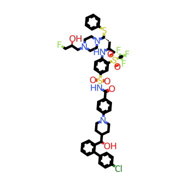 CC(C[C@@H](Sc1ccccc1)N1CCN(C[C@H](O)CF)CC1)Nc1ccc(S(=O)(=O)NC(=O)c2ccc(N3CCC(C(O)c4ccccc4-c4ccc(Cl)cc4)CC3)cc2)cc1S(=O)(=O)C(F)(F)F